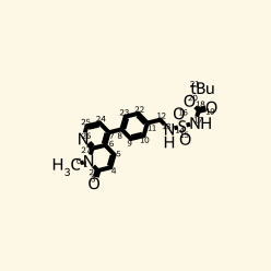 Cn1c(=O)ccc2c(-c3ccc(CNS(=O)(=O)NC(=O)OC(C)(C)C)cc3)ccnc21